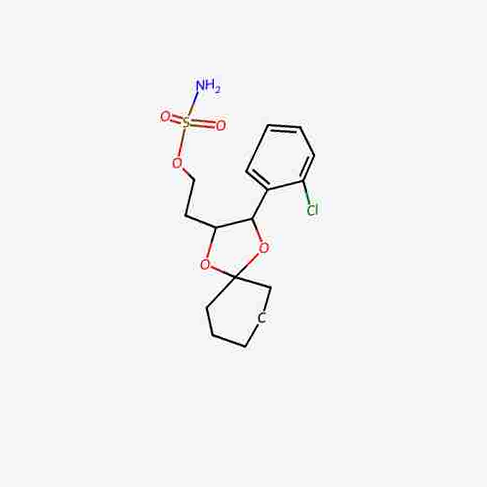 NS(=O)(=O)OCCC1OC2(CCCCC2)OC1c1ccccc1Cl